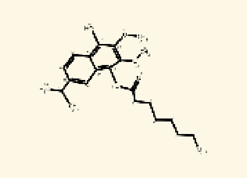 CCCCCCCC(=O)Oc1c(OC)c(OC)c(O)c2ccc(C(C)C)cc12